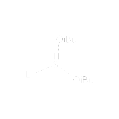 CC[SiH](OCC(C)C)OCC(C)C